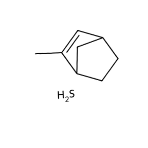 CC1=CC2CCC1C2.S